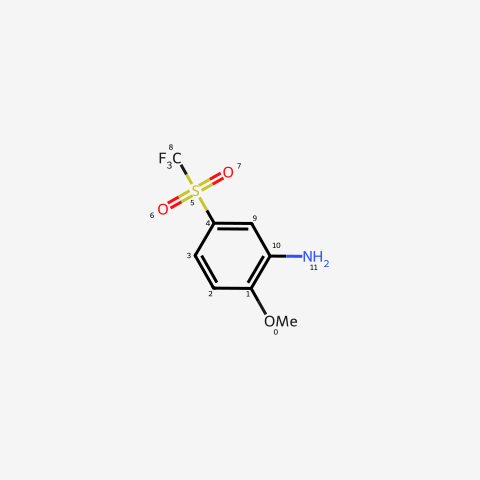 COc1ccc(S(=O)(=O)C(F)(F)F)cc1N